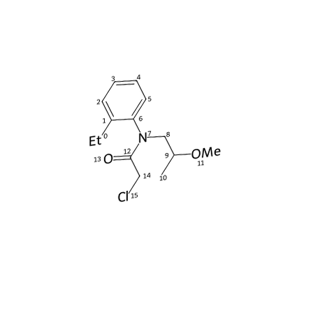 CCc1ccccc1N(CC(C)OC)C(=O)CCl